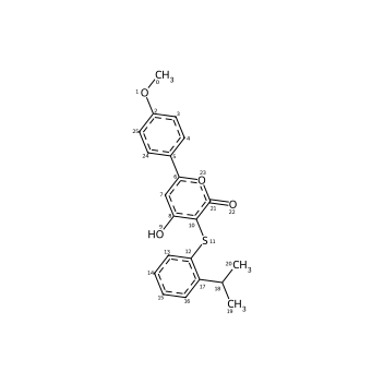 COc1ccc(-c2cc(O)c(Sc3ccccc3C(C)C)c(=O)o2)cc1